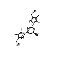 Cc1c(CBr)nn(-c2cc(Br)cc(-n3nc(CBr)c(C)c3C)n2)c1C